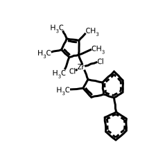 CC1=Cc2c(-c3ccccc3)cccc2[CH]1[Zr]([Cl])([Cl])[C]1(C)C(C)=C(C)C(C)=C1C